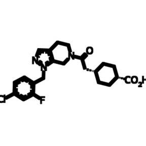 O=C(C[C@H]1CC[C@@H](C(=O)O)CC1)N1CCc2cnn(Cc3ccc(Cl)cc3F)c2C1